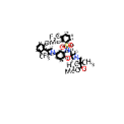 COC(=O)C(C)(C)CN1CC2(C1)CN(S(=O)(=O)c1cccc(C(F)(F)F)c1)c1cc(N3CC(c4c(OC)cccc4C(F)(F)F)C3)ccc1O2